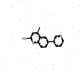 Cc1cc(O)nc2ccc(-c3cccnc3)cc12